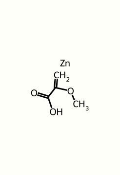 C=C(OC)C(=O)O.[Zn]